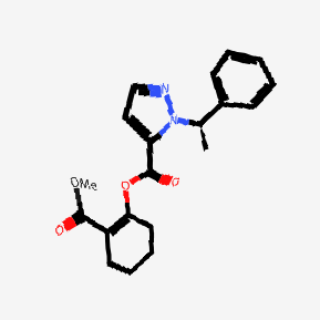 COC(=O)C1=C(OC(=O)c2ccnn2[C@H](C)c2ccccc2)CCCC1